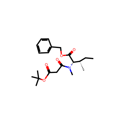 CC[C@H](C)[C@@H](C(=O)OCc1ccccc1)N(C)C(=O)CC(=O)OC(C)(C)C